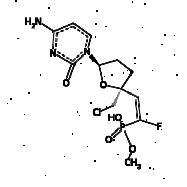 COP(=O)(O)/C(F)=C\[C@]1(CCl)CC[C@H](n2ccc(N)nc2=O)O1